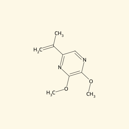 C=C(C)c1cnc(OC)c(OC)n1